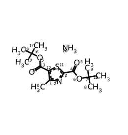 Cc1nc(C(=O)OC(C)(C)C)sc1C(=O)OC(C)(C)C.N